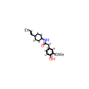 CCC=CC1CCC(NC(=O)Cc2ccc(O)c(OC)c2)CC1